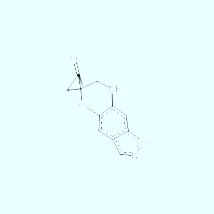 O=C1CC12CNc1cc3oncc3cc1O2